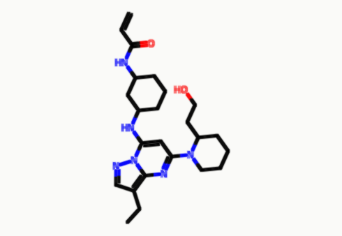 C=CC(=O)NC1CCCC(Nc2cc(N3CCCCC3CCO)nc3c(CC)cnn23)C1